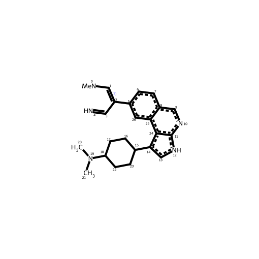 CN/C=C(\C=N)c1ccc2cnc3[nH]cc(C4CCC(N(C)C)CC4)c3c2c1